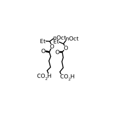 CCCCCCCCC(CC)OC(=O)CCCCC(=O)O.CCCCCCCCC(CC)OC(=O)CCCCC(=O)O